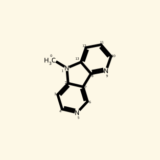 Cn1c2ccncc2c2ncccc21